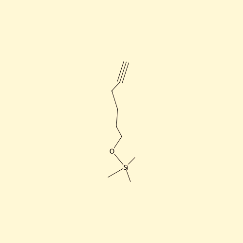 C#CCCCCO[Si](C)(C)C